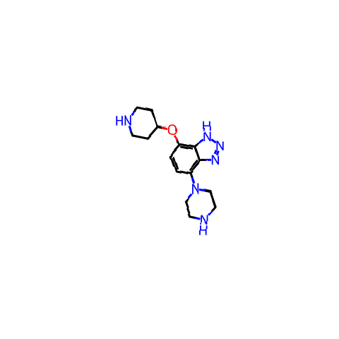 c1cc(OC2CCNCC2)c2[nH]nnc2c1N1CCNCC1